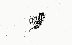 Cc1ncnc2c1ccn2[C@H]1O[C@H](Cc2ccc(F)cc2)[C@@H](O)[C@H]1O